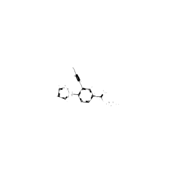 CC#Cc1cc(C(=O)OC)ccc1-n1cccn1